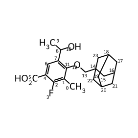 Cc1c(F)c(C(=O)O)cc(C(C)O)c1OCC12CC3CC(CC(C3)C1)C2